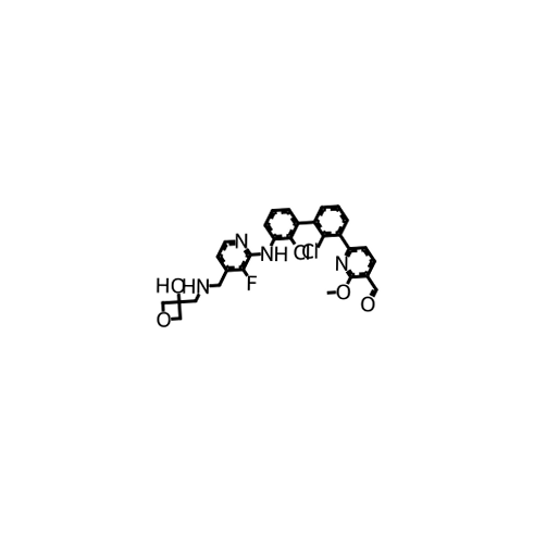 COc1nc(-c2cccc(-c3cccc(Nc4nccc(CNCC5(O)COC5)c4F)c3Cl)c2Cl)ccc1C=O